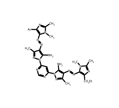 CCOC(=O)c1nc(C)n(C)c1/N=N/c1c(C)nn(-c2cc(-n3nc(C)c(/N=N/c4c(C(C)=O)nc(C)n4C)c3N)ncn2)c1N